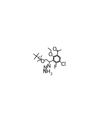 CCOc1c(C(C)=O)cc(Cl)c(F)c1C(CO[Si](C)(C)C(C)(C)C)N=NN